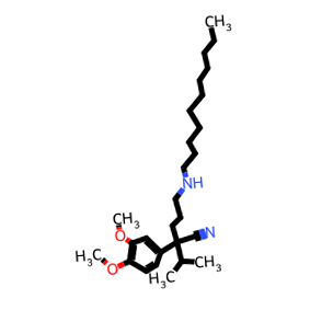 CCCCCCCCCCCNCCCC(C#N)(c1ccc(OC)c(OC)c1)C(C)C